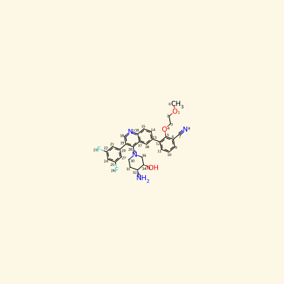 COCCOc1c(C#N)cccc1-c1ccc2ncc(-c3cc(F)cc(F)c3)c(N3CC[C@H](N)[C@H](O)C3)c2c1